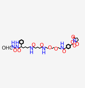 O=CNC(=O)NC(=O)C(CCCCNC(=O)CCCC(=O)NCCOCCOCCNC(=O)c1ccc(C(=O)ON2C(=O)CCC2=O)cc1)c1ccccc1